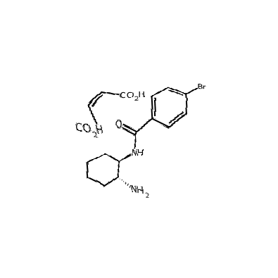 N[C@@H]1CCCC[C@H]1NC(=O)c1ccc(Br)cc1.O=C(O)/C=C\C(=O)O